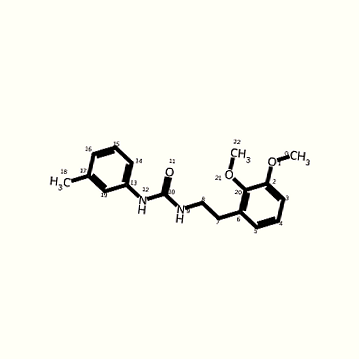 COc1cccc(CCNC(=O)Nc2cccc(C)c2)c1OC